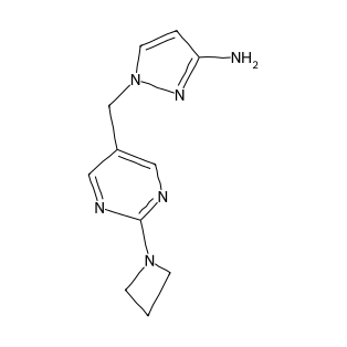 Nc1ccn(Cc2cnc(N3CCC3)nc2)n1